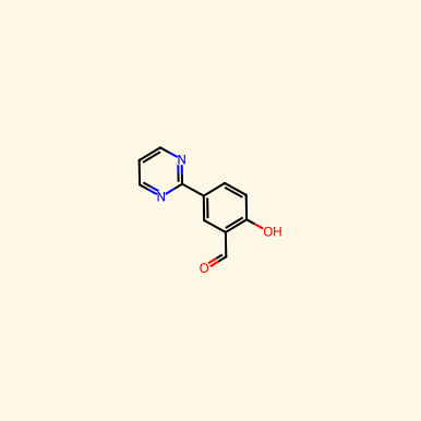 O=Cc1cc(-c2ncccn2)ccc1O